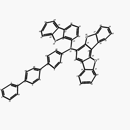 c1ccc(-c2ccc(-c3ccc(N(c4cc5c6ccccc6oc5c5c4oc4ccccc45)c4cccc5c4sc4ccccc45)cc3)cc2)cc1